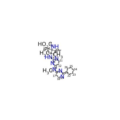 CC(C)C(NC(=O)O)(C(C)C)C(C)(C)Nc1nccc(N(C)c2ccnc(-c3ccccc3)n2)n1